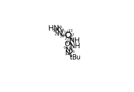 Cn1nc(C(C)(C)C)cc1NC(=O)Nc1cccc(CN2CCNCC2)c1